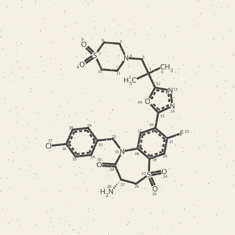 CC(C)(CN1CCS(=O)(=O)CC1)c1nnc(-c2cc3c(cc2F)S(=O)(=O)C[C@H](N)C(=O)N3Cc2ccc(Cl)cc2)o1